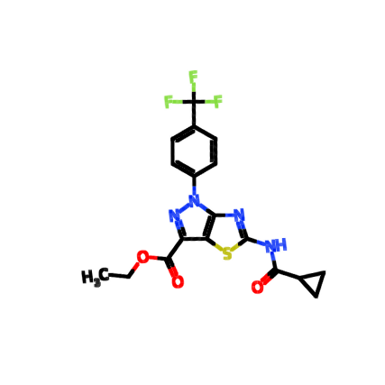 CCOC(=O)c1nn(-c2ccc(C(F)(F)F)cc2)c2nc(NC(=O)C3CC3)sc12